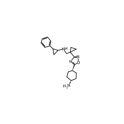 N[C@H]1CC[C@@H](c2nc(C3(CNC4CC4c4ccccc4)CC3)no2)CC1